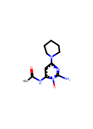 CCCCC(=O)Nc1cc(N2CCCCC2)nc(N)[n+]1[O-]